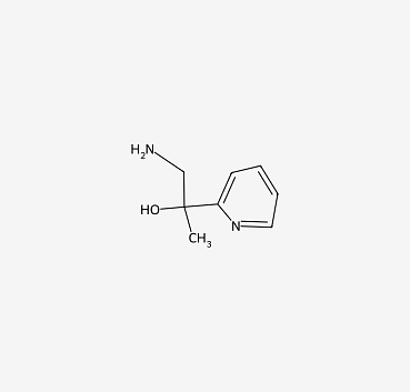 CC(O)(CN)c1ccccn1